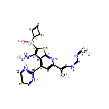 C=N/C=N\C=C(/C)c1cc(-c2ncccn2)c2c(N)c([S+]([O-])C3CCC3)sc2n1